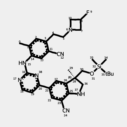 Cc1cc(CCN2CC(F)C2)c(C#N)cc1Nc1nccc(-c2cc(C#N)c3c(c2)[C@@](C)(CO[Si](C)(C)C(C)(C)C)CN3)n1